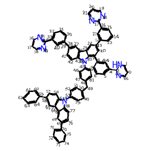 C1=CNC(c2cccc(-c3cc(-c4cccc(-c5ncccn5)c4)cc4c5cc(-c6cccc(-c7ncccn7)c6)ccc5n(-c5ccc(Cc6ccc(-n7c8ccc(-c9ccccc9)cc8c8cc(-c9ccccc9)ccc87)cc6)cc5)c34)c2)N=C1